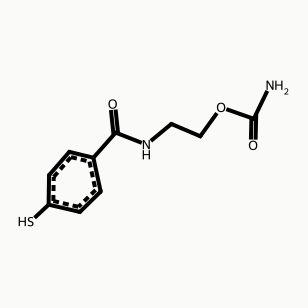 NC(=O)OCCNC(=O)c1ccc(S)cc1